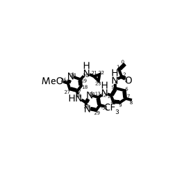 C=CC(=O)Nc1cc(C)ccc1Nc1nc(Nc2cc(NC3CC3)nc(OC)c2)ncc1C(F)(F)F